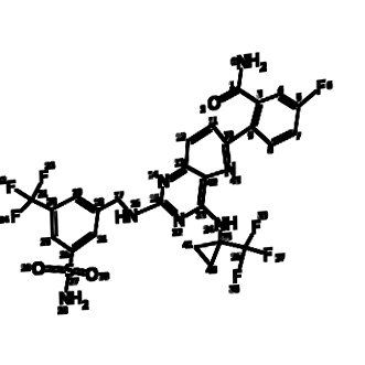 NC(=O)c1cc(F)ccc1-c1ccc2nc(NCc3cc(C(F)(F)F)cc(S(N)(=O)=O)c3)nc(NC3(C(F)(F)F)CC3)c2n1